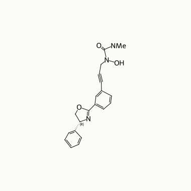 CNC(=O)N(O)CC#Cc1cccc(C2=N[C@H](c3ccccc3)CO2)c1